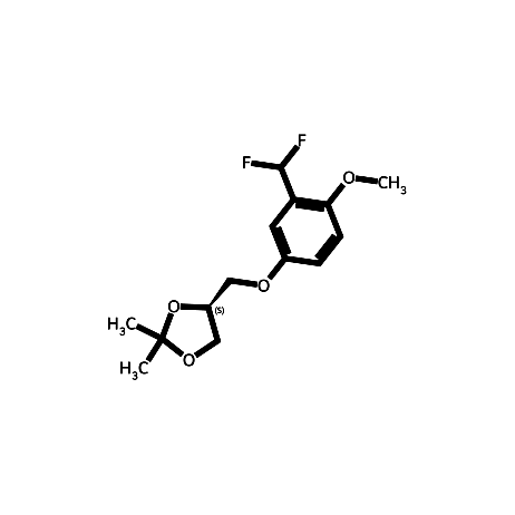 COc1ccc(OC[C@H]2COC(C)(C)O2)cc1C(F)F